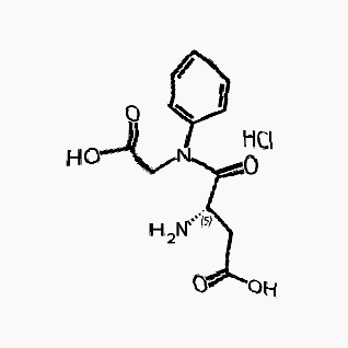 Cl.N[C@@H](CC(=O)O)C(=O)N(CC(=O)O)c1ccccc1